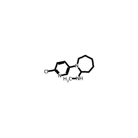 CNC1CCCCCN1c1ccc(Cl)nc1